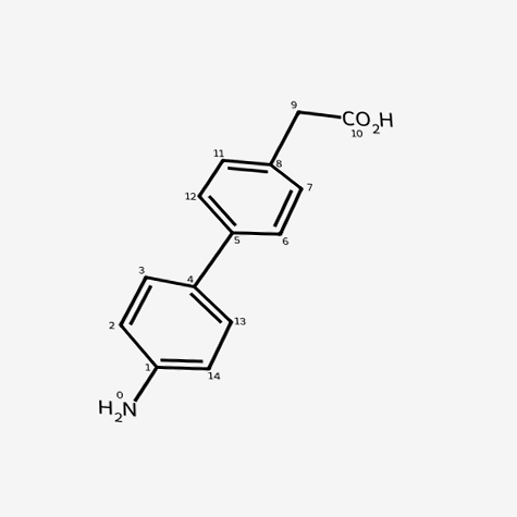 Nc1ccc(-c2ccc(CC(=O)O)cc2)cc1